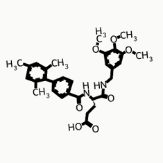 COc1cc(CNC(=O)[C@H](CCC(=O)O)NC(=O)c2ccc(-c3c(C)cc(C)cc3C)cc2)cc(OC)c1OC